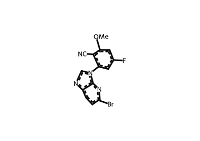 COc1cc(F)cc(-n2cnc3ccc(Br)nc32)c1C#N